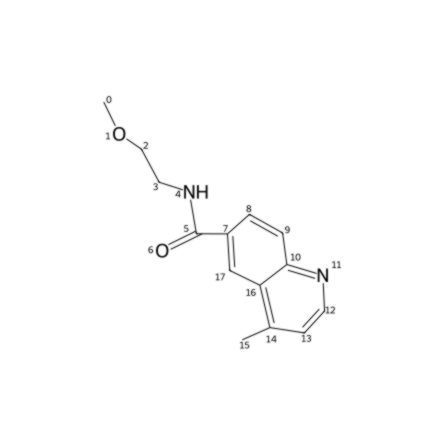 COCCNC(=O)c1ccc2nccc(C)c2c1